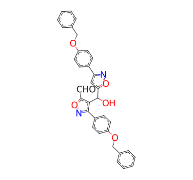 O=Cc1onc(-c2ccc(OCc3ccccc3)cc2)c1C(O)c1cc(-c2ccc(OCc3ccccc3)cc2)no1